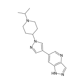 CC(C)N1CCC(n2cc(-c3cnc4cn[nH]c4c3)cn2)CC1